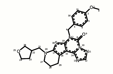 COc1ccc(Cn2c(=O)n3ncnc3c3c4c(sc32)N(CC2CCOC2)CCC4)cc1